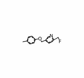 Cc1ccc(OCc2ccc(CF)nc2)cc1